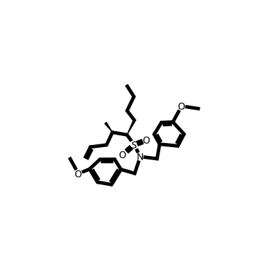 C=CC[C@@H](C)[C@@H](CCCC)S(=O)(=O)N(Cc1ccc(OC)cc1)Cc1ccc(OC)cc1